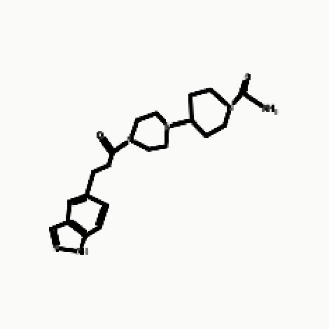 NC(=O)N1CCC(N2CCN(C(=O)[CH]Cc3ccc4[nH]ncc4c3)CC2)CC1